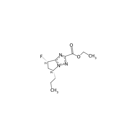 CCC[C@@H]1C[C@H](F)c2nc(C(=O)OCC)nn21